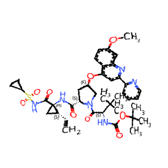 C=C[C@@H]1C[C@]1(NC(=O)[C@@H]1C[C@@H](Oc2cc(-c3ccccn3)nc3cc(OC)ccc23)CN1C(=O)[C@@H](NC(=O)OC(C)(C)C)C(C)(C)C)C(=O)NS(=O)(=O)C1CC1